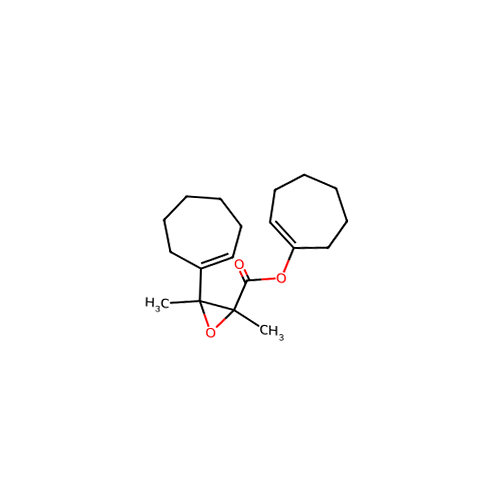 CC1(C(=O)OC2=CCCCCC2)OC1(C)C1=CCCCCC1